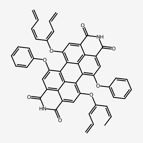 C=C/C=C\C(=C/C=C)Oc1cc2c3c(cc(Oc4ccccc4)c4c5c(OC(/C=C\C)=C/C=C)cc6c7c(cc(Oc8ccccc8)c(c1c34)c75)C(=O)NC6=O)C(=O)NC2=O